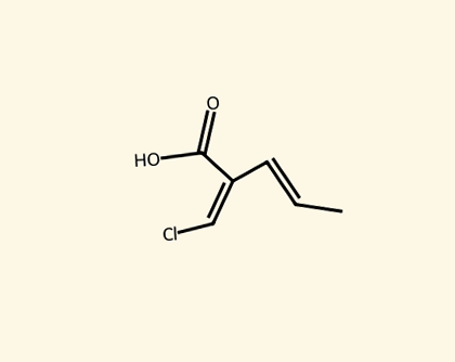 CC=CC(=CCl)C(=O)O